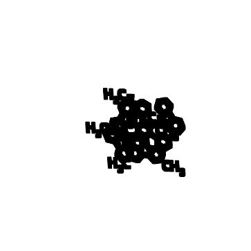 Cc1ccc2c(c1)c1cc(C)ccc1n2-c1c(-c2cccc(F)c2)c(C(C)(C)n2c3ccccc3c3ccccc32)c(-c2cccc(F)c2)c(-n2c3ccc(C)cc3c3cc(C)ccc32)c1C(C)(C)n1c2ccccc2c2ccccc21